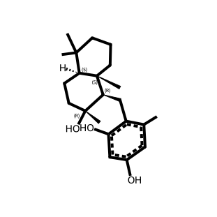 Cc1cc(O)cc(O)c1C[C@@H]1[C@@]2(C)CCCC(C)(C)[C@@H]2CC[C@@]1(C)O